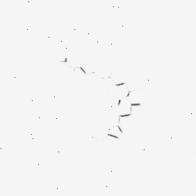 CCOc1ccc(C=C(C)C(=O)c2c(O)cc(C(C)CCC=CNC(=O)O)oc2=O)s1